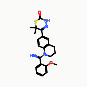 COc1ccccc1C(=N)N1CCCc2cc(C3=NNC(=O)SC3(C)C)ccc21